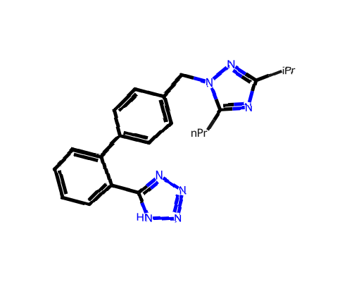 CCCc1nc(C(C)C)nn1Cc1ccc(-c2ccccc2-c2nnn[nH]2)cc1